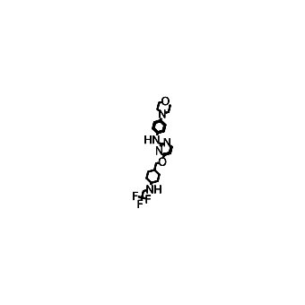 FC(F)(F)CNC1CCC(COc2ccnc(Nc3ccc(N4CCOCC4)cc3)n2)CC1